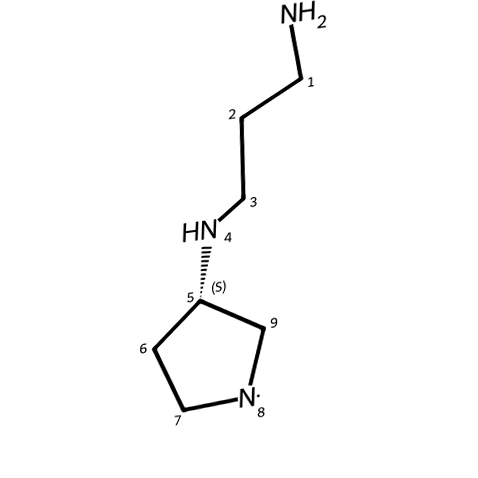 NCCCN[C@H]1CC[N]C1